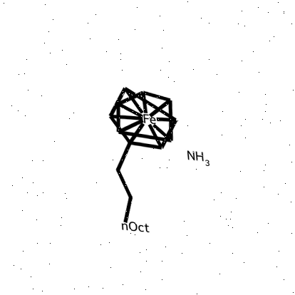 CCCCCCCCCC[C]12[CH]3[CH]4[CH]5[CH]1[Fe]45321678[CH]2[CH]1[CH]6[CH]7[CH]28.N